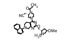 C=CC(=O)N1CCN(c2nc(OC[C@@H]3C[C@@H](OC)CN3C)nc3c2CCN(c2cccc4ccccc24)C3)C[C@@H]1CC#N